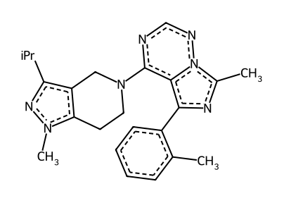 Cc1ccccc1-c1nc(C)n2ncnc(N3CCc4c(c(C(C)C)nn4C)C3)c12